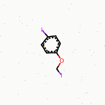 ICOc1ccc(I)cc1